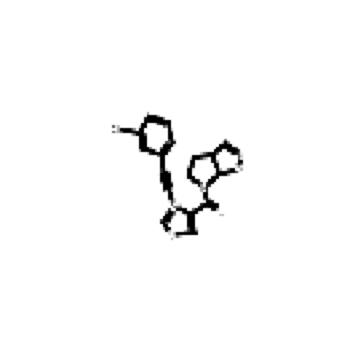 O=C(c1csc[n+]1C#Cc1cccc(Cl)c1)N1CCC2C=NOC21